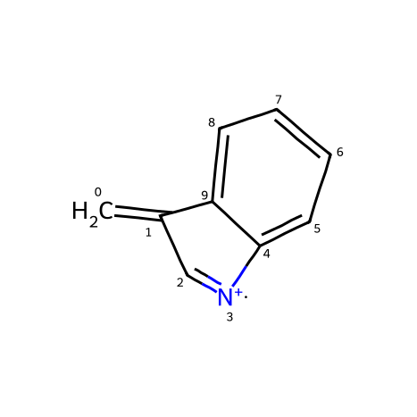 C=C1C=[N+]c2ccccc21